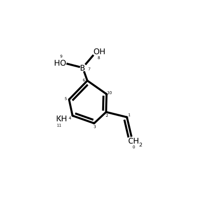 C=Cc1cccc(B(O)O)c1.[KH]